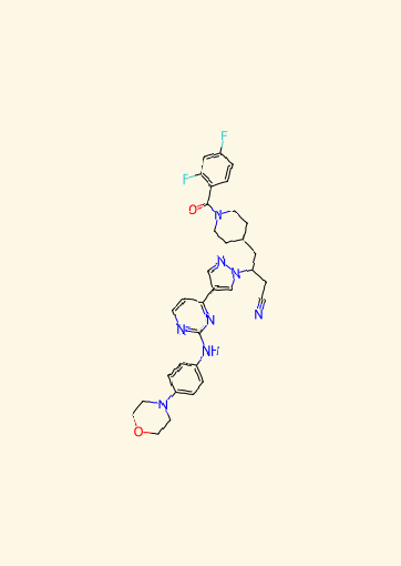 N#CCC(CC1CCN(C(=O)c2ccc(F)cc2F)CC1)n1cc(-c2ccnc(Nc3ccc(N4CCOCC4)cc3)n2)cn1